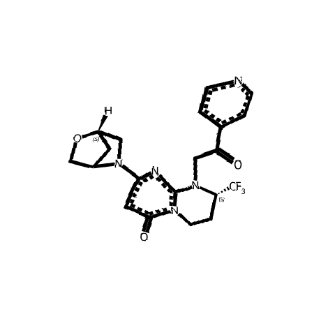 O=C(CN1c2nc(N3C[C@@H]4CC3CO4)cc(=O)n2CC[C@H]1C(F)(F)F)c1ccncc1